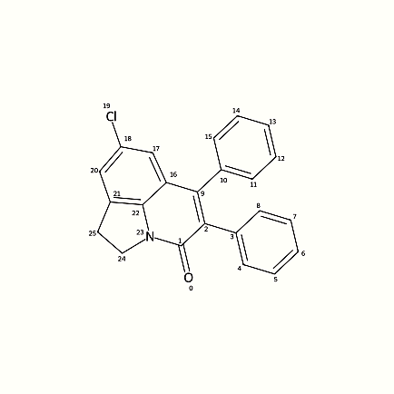 O=c1c(-c2ccccc2)c(-c2ccccc2)c2cc(Cl)cc3c2n1CC3